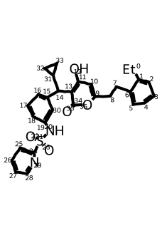 CCc1ccccc1CCc1cc(O)c(C(c2cccc(NS(=O)(=O)c3ccccn3)c2)C2CC2)c(=O)o1